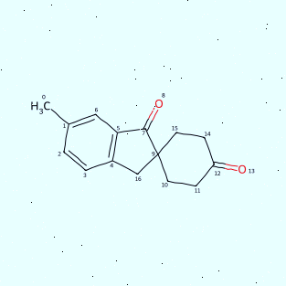 Cc1ccc2c(c1)C(=O)C1(CCC(=O)CC1)C2